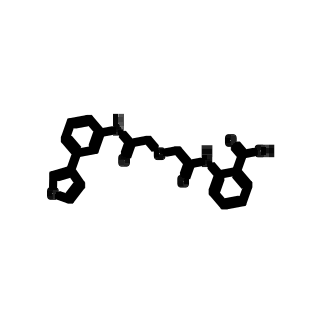 O=C(COCC(=O)Nc1ccccc1C(=O)O)Nc1cccc(-c2ccoc2)c1